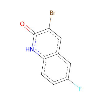 O=c1[nH]c2ccc(F)cc2cc1Br